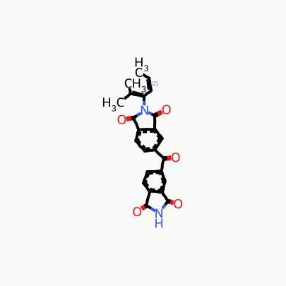 C/C=C\C(=C(C)C)N1C(=O)c2ccc(C(=O)c3ccc4c(c3)C(=O)NC4=O)cc2C1=O